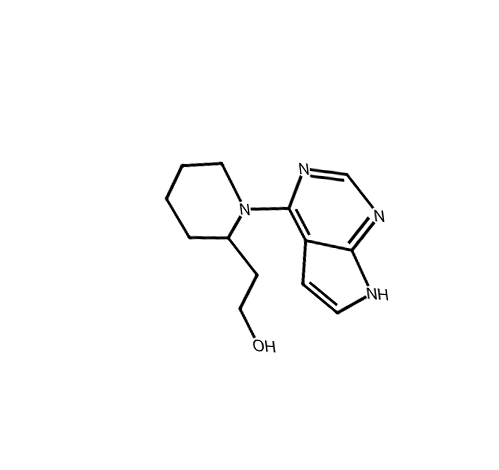 OCCC1CCCCN1c1ncnc2[nH]ccc12